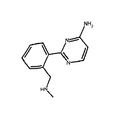 CNCc1ccccc1-c1nccc(N)n1